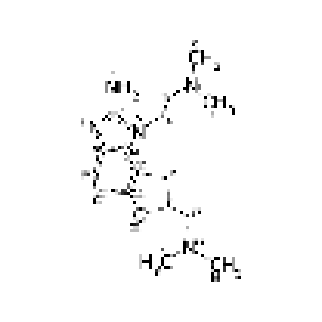 CN(C)CCn1c(N)nc2ccc3c(c21)CC(CN(C)C)O3